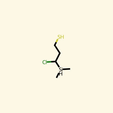 C[SiH](C)C(Cl)CCS